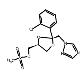 CS(=O)(=O)OC[C@@H]1CO[C@@](Cn2cncn2)(c2ccccc2Cl)O1